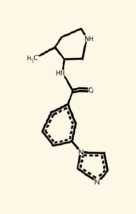 CC1CCNCC1NC(=O)c1cccc(-n2ccnc2)c1